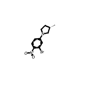 C[C@H]1CCN(c2ccc([N+](=O)[O-])c(Br)c2)C1